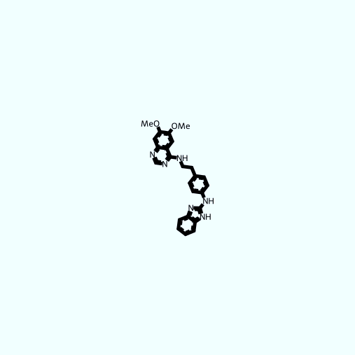 COc1cc2ncnc(NCCc3ccc(Nc4nc5ccccc5[nH]4)cc3)c2cc1OC